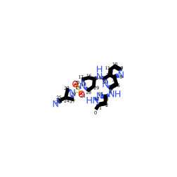 Cc1cc(Nc2cc3ncccc3c(NC3CCN(S(=O)(=O)N4CC(C#N)C4)CC3)n2)n[nH]1